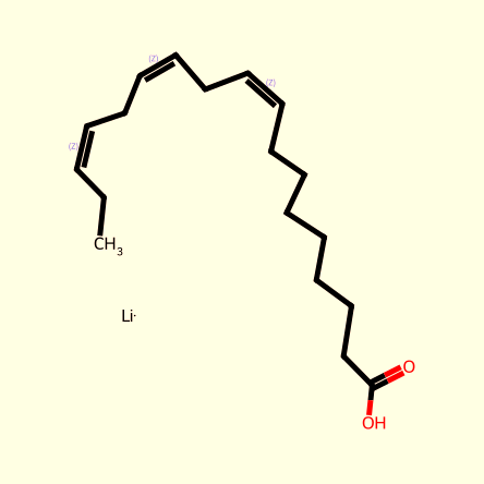 CC/C=C\C/C=C\C/C=C\CCCCCCCC(=O)O.[Li]